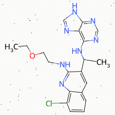 CCOCCNc1nc2c(Cl)cccc2cc1C(C)Nc1ncnc2[nH]cnc12